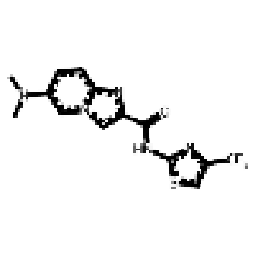 CN(C)c1ccc2nc(C(=O)Nc3nc(C(F)(F)F)cs3)cn2c1